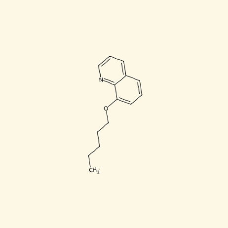 [CH2]CCCCOc1cccc2cccnc12